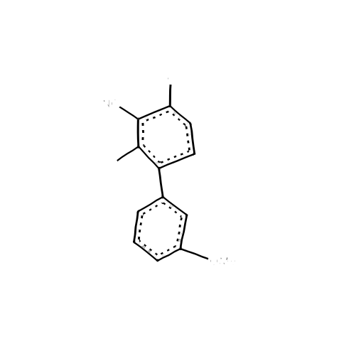 COc1cccc(-c2ccc(Cl)c(C#N)c2F)c1